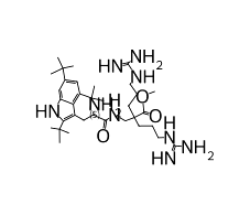 COC(=O)C(CCCNC(=N)N)(CCCNC(=N)N)CNC(=O)[C@@H](N)Cc1c(C(C)(C)C)[nH]c2cc(C(C)(C)C)cc(C(C)(C)C)c12